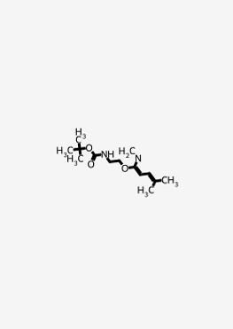 C=N/C(=C\C=C(C)C)OCCNC(=O)OC(C)(C)C